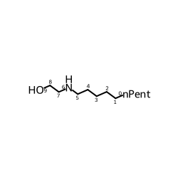 CCCCCCCCCCNCCO